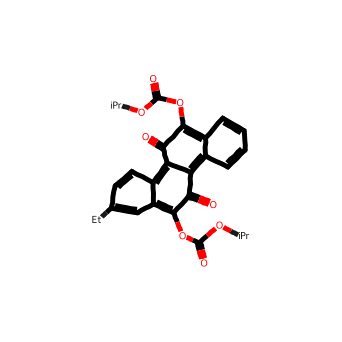 CCc1ccc2c(c1)=C(OC(=O)OC(C)C)C(=O)C1=c3ccccc3=C(OC(=O)OC(C)C)C(=O)C=21